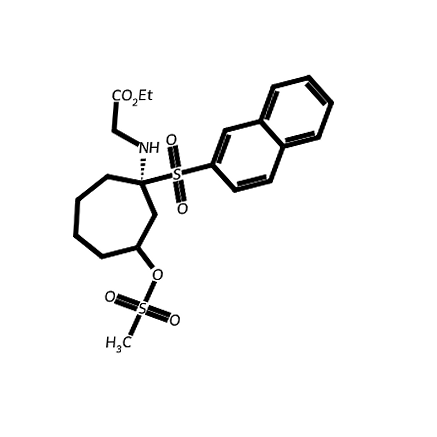 CCOC(=O)CN[C@@]1(S(=O)(=O)c2ccc3ccccc3c2)CCCCC(OS(C)(=O)=O)C1